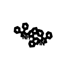 c1ccc(-c2c[nH]c(-c3cc(-c4cc(-c5[nH]cc(-c6ccccc6)c5-c5ccccc5)cc5ccccc45)c4ccccc4c3)c2-c2ccccc2)cc1